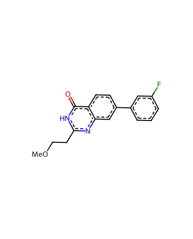 COCCc1nc2cc(-c3cccc(F)c3)ccc2c(=O)[nH]1